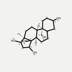 C[C@]12CC[C@@H]3[C@@H](CCC4CC(O)CC[C@@]43CO)[C@]1(O)C(O)CC2O